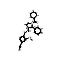 COc1cc(C#N)ccc1CNC1CCN(C(=O)C2CCCCC2)C1c1ccccc1